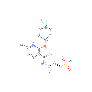 C[C@@H](/C=C/S(C)(=O)=O)NC(=O)c1cnc(C(C)(C)C)nc1OC1CCC(F)(F)CC1